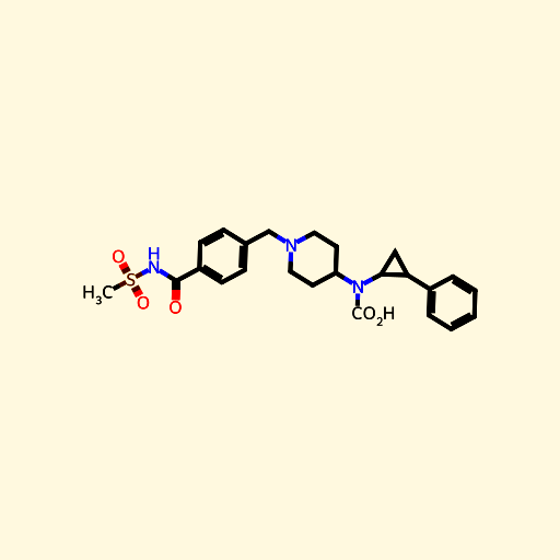 CS(=O)(=O)NC(=O)c1ccc(CN2CCC(N(C(=O)O)C3CC3c3ccccc3)CC2)cc1